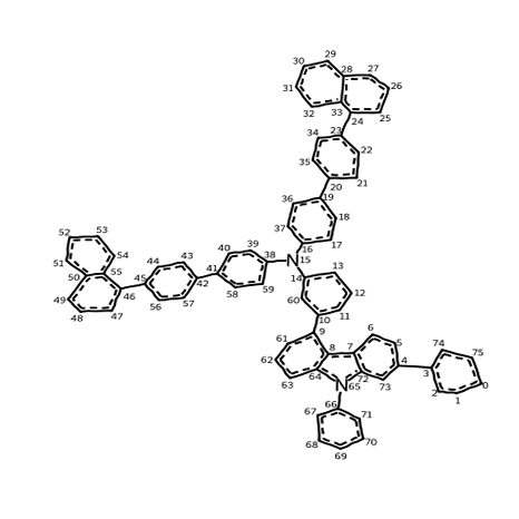 c1ccc(-c2ccc3c4c(-c5cccc(N(c6ccc(-c7ccc(-c8cccc9ccccc89)cc7)cc6)c6ccc(-c7ccc(-c8cccc9ccccc89)cc7)cc6)c5)cccc4n(-c4ccccc4)c3c2)cc1